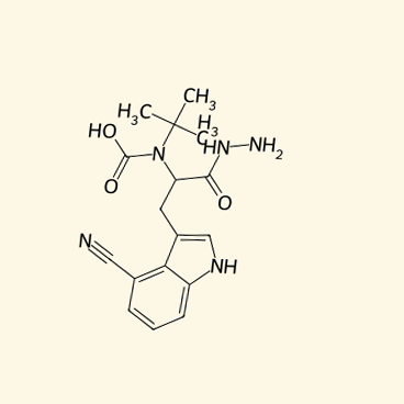 CC(C)(C)N(C(=O)O)C(Cc1c[nH]c2cccc(C#N)c12)C(=O)NN